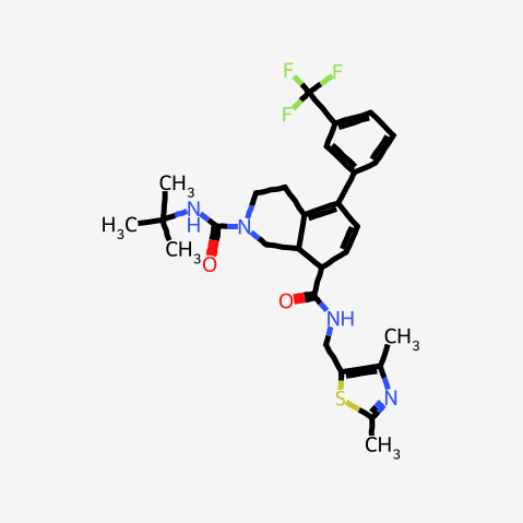 Cc1nc(C)c(CNC(=O)C2C=CC(c3cccc(C(F)(F)F)c3)=C3CCN(C(=O)NC(C)(C)C)CC32)s1